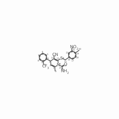 CC1=CC(c2ccccc2C(F)(F)F)C(C#N)=C(SCc2ccc(C)c([N+](=O)[O-])c2)N1C(N)=O